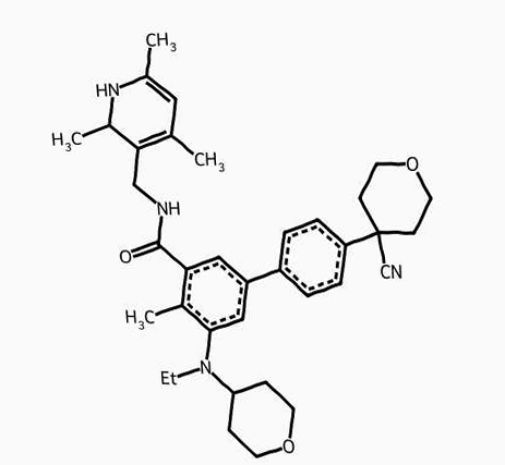 CCN(c1cc(-c2ccc(C3(C#N)CCOCC3)cc2)cc(C(=O)NCC2=C(C)C=C(C)NC2C)c1C)C1CCOCC1